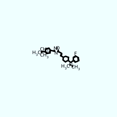 CN(C)C(c1cccc(F)c1)C1CCC(C=Cc2nc(-c3ccc(C(C)(C)C)cc3)no2)CC1